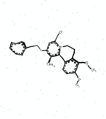 COc1ccc2c(c1OC)CC[n+]1c(Cl)cc(OCc3ccccc3)c(C)c1-2